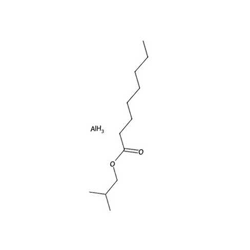 CCCCCCCC(=O)OCC(C)C.[AlH3]